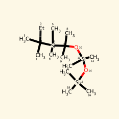 CCC(C)(C)[Si](C)(C)C(C)(C)O[Si](C)(C)O[Si](C)(C)C